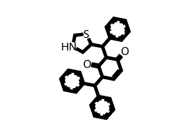 O=C1C=CC(C(c2ccccc2)c2ccccc2)C(=O)C1C(c1ccccc1)C1CNCS1